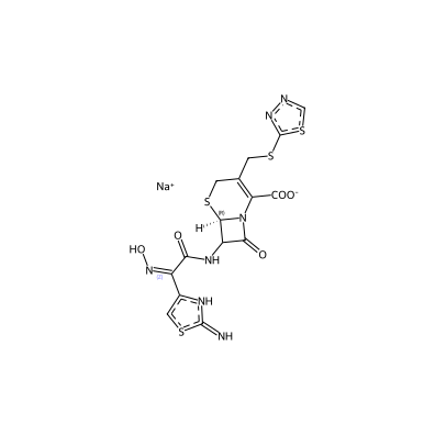 N=c1[nH]c(/C(=N/O)C(=O)NC2C(=O)N3C(C(=O)[O-])=C(CSc4nncs4)CS[C@H]23)cs1.[Na+]